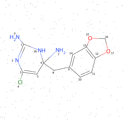 NC1=NC(Cl)=CC(N)(Cc2ccc3c(c2)OCO3)N1